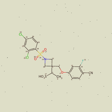 CC(C1(COc2ccc(C#N)c(F)c2)CN(S(=O)(=O)c2ccc(Cl)cc2Cl)C1)S(=O)(=O)O